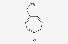 NCC1=CC=C(Cl)CC=C1